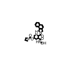 O=C(NO)C1CC(OC(=O)N2CCC2)CNC1C(=O)N1Cc2ccc3ccccc3c2C1